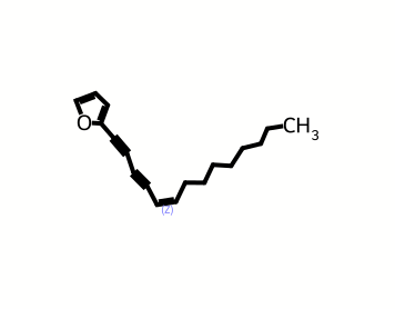 CCCCCCCC/C=C\C#CC#Cc1ccco1